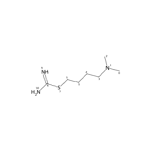 CN(C)CCCCSC(=N)N